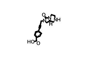 O=C(O)c1ccc(C#CCN2C[C@@H]3CNCCN3C2=O)cc1